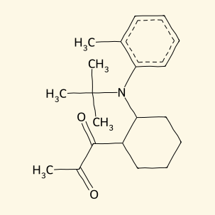 CC(=O)C(=O)C1CCCCC1N(c1ccccc1C)C(C)(C)C